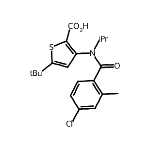 Cc1cc(Cl)ccc1C(=O)N(c1cc(C(C)(C)C)sc1C(=O)O)C(C)C